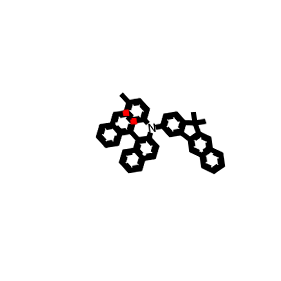 Cc1ccc(N(c2ccc3c(c2)-c2cc4ccccc4cc2C3(C)C)c2ccc3ccccc3c2-c2cccc3ccccc23)cc1